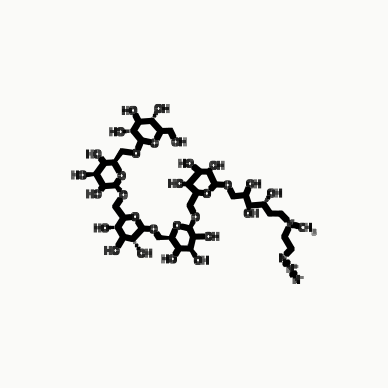 CN(CCN=[N+]=[N-])CC[C@@H](O)[C@H](O)C(O)COC1OC(CO[C@@H]2O[C@H](COC3OC(CO[C@@H]4O[C@H](COC5OC(CO)[C@@H](O)C(O)[C@H]5O)C(O)[C@H](O)C4O)[C@@H](O)C(O)[C@H]3O)C(O)[C@H](O)C2O)[C@@H](O)C(O)[C@H]1O